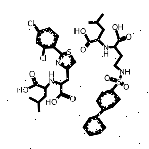 CC(C)CC(NC(CCNS(=O)(=O)c1ccc(-c2ccccc2)cc1)C(=O)O)C(=O)O.CC(C)CC(NC(Cc1csc(-c2ccc(Cl)cc2Cl)n1)C(=O)O)C(=O)O